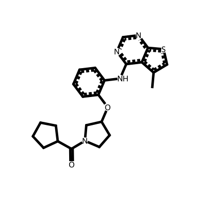 Cc1csc2ncnc(Nc3ccccc3OC3CCN(C(=O)C4CCCC4)C3)c12